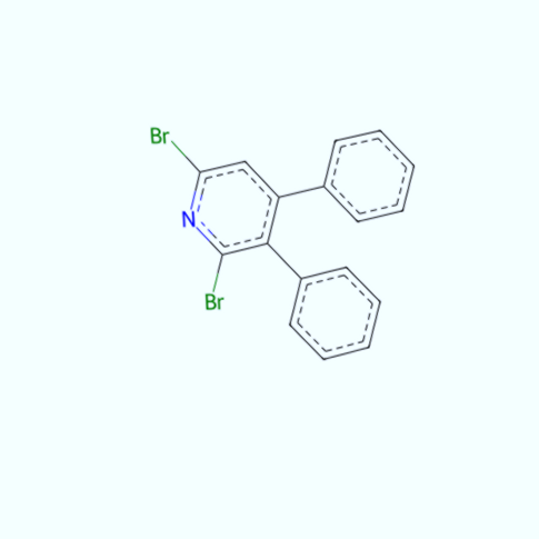 Brc1cc(-c2ccccc2)c(-c2ccccc2)c(Br)n1